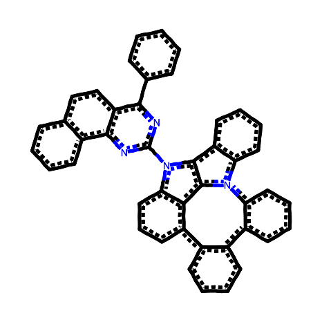 c1ccc(-c2nc(-n3c4cccc5c6ccccc6c6ccccc6n6c7ccccc7c3c6c54)nc3c2ccc2ccccc23)cc1